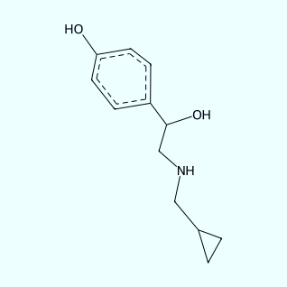 Oc1ccc(C(O)CNCC2CC2)cc1